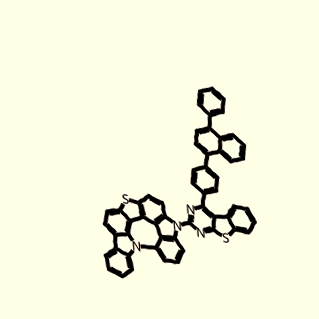 c1ccc(-c2ccc(-c3ccc(-c4nc(-n5c6ccc7sc8ccc9c%10ccccc%10n%10c%11cccc5c%11c6c7c8c9%10)nc5sc6ccccc6c45)cc3)c3ccccc23)cc1